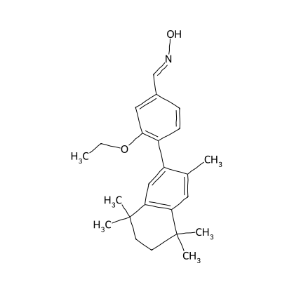 CCOc1cc(C=NO)ccc1-c1cc2c(cc1C)C(C)(C)CCC2(C)C